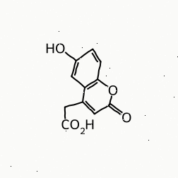 O=C(O)Cc1cc(=O)oc2ccc(O)cc12